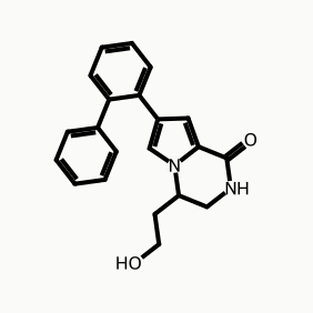 O=C1NCC(CCO)n2cc(-c3ccccc3-c3ccccc3)cc21